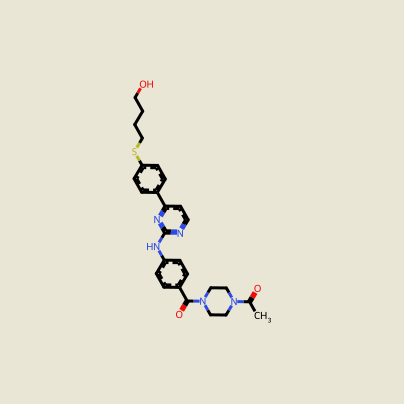 CC(=O)N1CCN(C(=O)c2ccc(Nc3nccc(-c4ccc(SCCCCO)cc4)n3)cc2)CC1